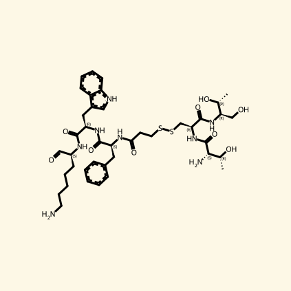 C[C@@H](O)[C@H](N)C(=O)N[C@@H](CSSCCC(=O)N[C@@H](Cc1ccccc1)C(=O)N[C@H](Cc1c[nH]c2ccccc12)C(=O)N[C@H](C=O)CCCCCN)C(=O)N[C@H](CO)[C@@H](C)O